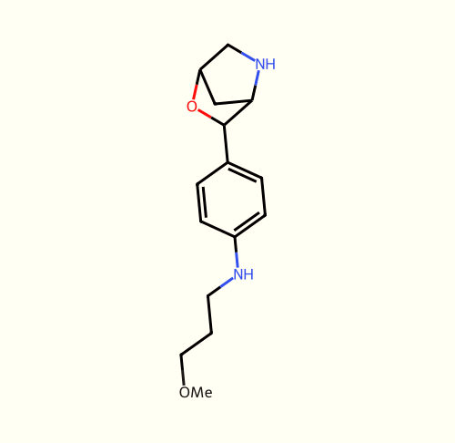 COCCCNc1ccc(C2OC3CNC2C3)cc1